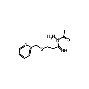 CC(=O)N(N)C(=N)CCSCc1ccccn1